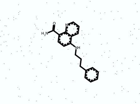 NC(=O)c1ccc(NCCCc2ccccc2)c2cccnc12